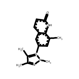 CC1=NN(C)S(c2cc(C)c3[nH]c(=O)ccc3c2)=C1C